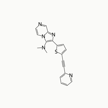 CN(C)c1c(-c2ccc(C#Cc3ccccn3)s2)nc2cnccn12